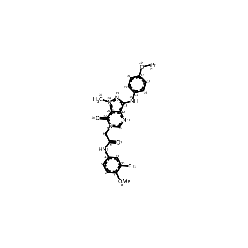 COc1ccc(NC(=O)Cn2cnc3c(Nc4ccc(OC(C)C)cc4)nn(C)c3c2=O)cc1F